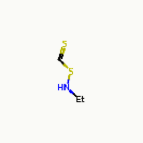 CCNSC=S